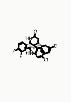 O=C1C[C@@H](C2C=CC=C(Cl)C2)[C@]2(C(=O)Nc3cc(Cl)ccc32)[C@H](c2ccc(F)c(F)c2)N1